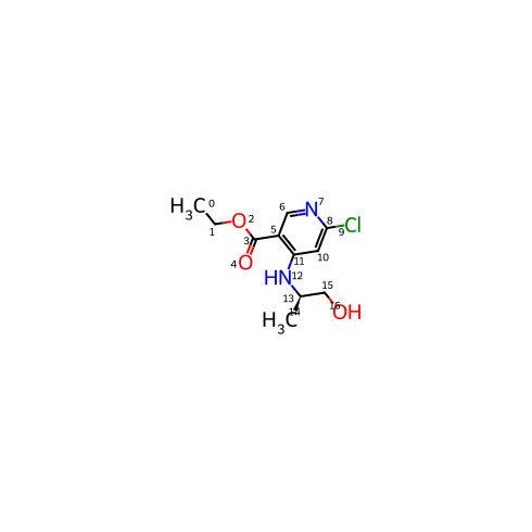 CCOC(=O)c1cnc(Cl)cc1N[C@H](C)CO